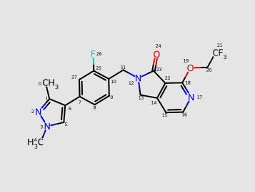 Cc1nn(C)cc1-c1ccc(CN2Cc3ccnc(OCC(F)(F)F)c3C2=O)c(F)c1